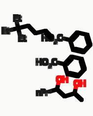 C=CCCC(CC)(CC)CC.CCCC(O)CC(C)O.O=C(O)c1ccccc1.O=C(O)c1ccccc1